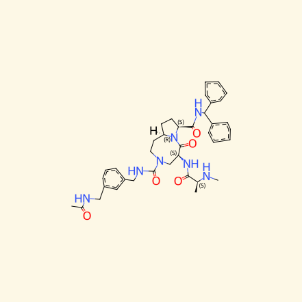 CN[C@@H](C)C(=O)N[C@H]1CN(C(=O)NCc2cccc(CNC(C)=O)c2)CC[C@H]2CC[C@@H](C(=O)NC(c3ccccc3)c3ccccc3)N2C1=O